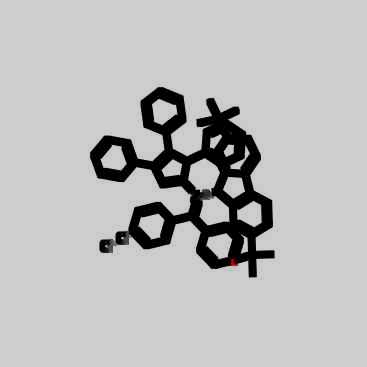 CC(C)(C)c1ccc2c(c1)[CH]([Zr+2]([C]1=CC(c3ccccc3)=C(c3ccccc3)C1c1ccccc1)=[C](c1ccccc1)c1ccccc1)c1cc(C(C)(C)C)ccc1-2.[Cl-].[Cl-]